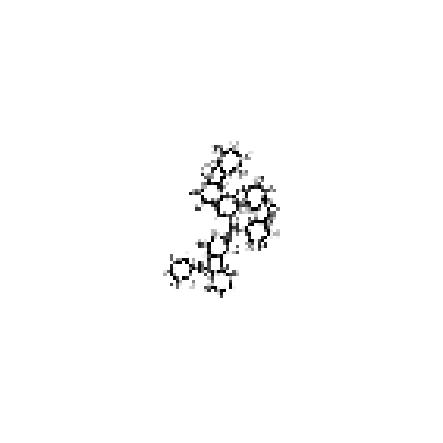 c1ccc(-n2c3ccccc3c3cc(N(c4ccc5c(ccc6oc7ccccc7c65)c4)c4cccc5oc6ccccc6c45)ccc32)cc1